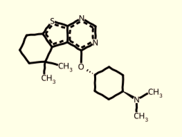 CN(C)[C@H]1CC[C@H](Oc2ncnc3sc4c(c23)C(C)(C)CCC4)CC1